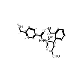 CCOc1ccccc1C(CCC=O)S(=O)(=O)NC(=O)c1ccc(CO)nc1